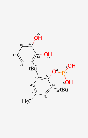 Cc1cc(C(C)(C)C)c(OP(O)O)c(C(C)(C)C)c1.Oc1ccccc1O